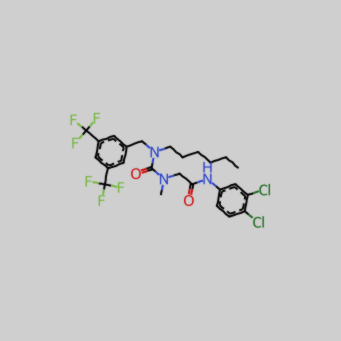 CCCCCCN(Cc1cc(C(F)(F)F)cc(C(F)(F)F)c1)C(=O)N(C)CC(=O)Nc1ccc(Cl)c(Cl)c1